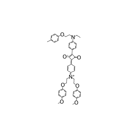 CCN(CCOc1ccc(C)cc1)c1ccc(C2=C([O-])C(=C3C=CC(=[N+](CCOc4ccc(OC)cc4)CCOc4ccc(OC)cc4)C=C3)C2=O)cc1